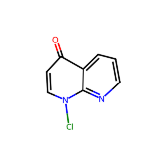 O=c1ccn(Cl)c2ncccc12